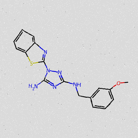 COc1cccc(CNc2nc(N)n(-c3nc4ccccc4s3)n2)c1